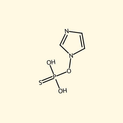 OP(O)(=S)On1ccnc1